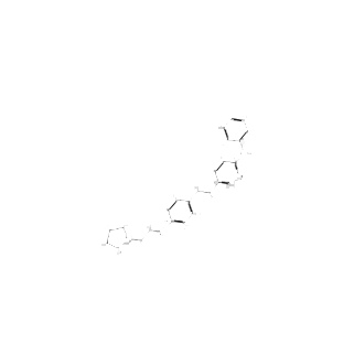 c1ccc(Oc2ccc(CCc3ccc(OCCN4CCCC4)cc3)nn2)cc1